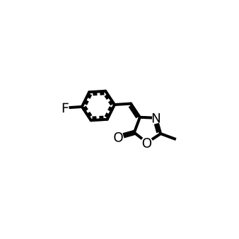 CC1=NC(=Cc2ccc(F)cc2)C(=O)O1